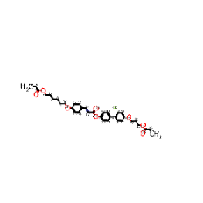 C=CC(=O)OCCCCCCOc1ccc(/C=C/C(=O)Oc2ccc(-c3ccc(OCCCOC(=O)C=C)cc3F)cc2)cc1